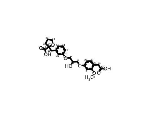 COc1cc(OCC(O)COc2cccc(CC3(C(=O)O)CCCO3)c2)ccc1CC(=O)O